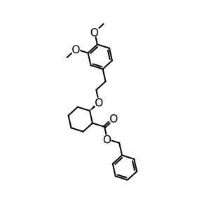 COc1ccc(CCO[C@@H]2CCCCC2C(=O)OCc2ccccc2)cc1OC